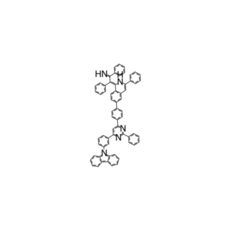 N=C(/C(=C1\NC(c2ccccc2)=Cc2cc(-c3ccc(-c4cc(-c5cccc(-n6c7ccccc7c7ccccc76)c5)nc(-c5ccccc5)n4)cc3)ccc21)c1ccccc1)c1ccccc1